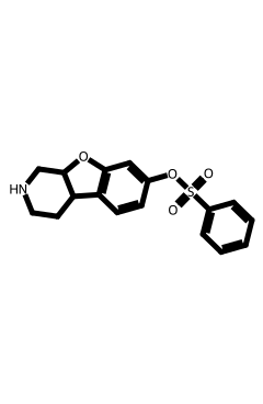 O=S(=O)(Oc1ccc2c(c1)OC1CNCCC21)c1ccccc1